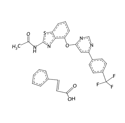 CC(=O)Nc1nc2c(Oc3cc(-c4ccc(C(F)(F)F)cc4)ncn3)cccc2s1.O=C(O)C=Cc1ccccc1